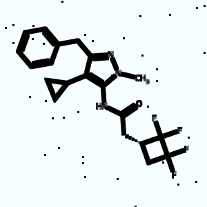 Cn1nc(Cc2ccccc2)c(C2CC2)c1NC(=O)C[C@H]1CC(F)(F)C1(F)F